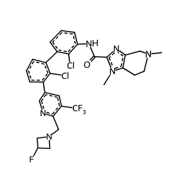 CN1CCc2c(nc(C(=O)Nc3cccc(-c4cccc(-c5cnc(CN6CC(F)C6)c(C(F)(F)F)c5)c4Cl)c3Cl)n2C)C1